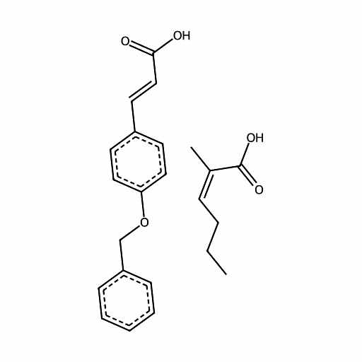 CCCC=C(C)C(=O)O.O=C(O)C=Cc1ccc(OCc2ccccc2)cc1